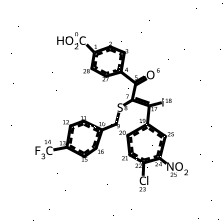 O=C(O)c1ccc(C(=O)C(SCc2ccc(C(F)(F)F)cc2)=C(I)c2ccc(Cl)c([N+](=O)[O-])c2)cc1